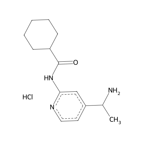 CC(N)c1ccnc(NC(=O)C2CCCCC2)c1.Cl